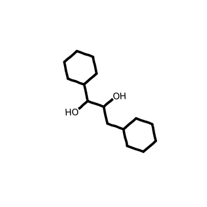 OC(CC1CCCCC1)C(O)C1CCCCC1